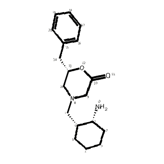 N[C@@H]1CCCC[C@@H]1CN1CC(=O)O[C@@H](Cc2ccccc2)C1